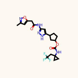 Cc1cc(CC(=O)Nc2cc(C3CCC(OC(=O)NC4(CC(F)(F)F)CC4)C3)[nH]n2)on1